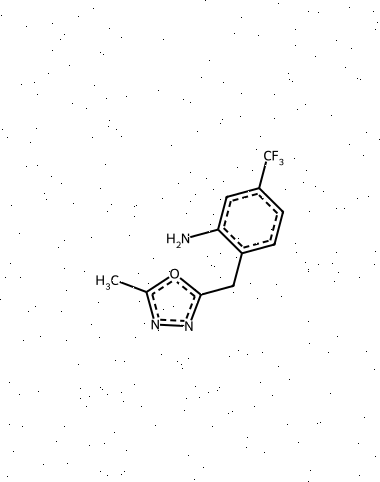 Cc1nnc(Cc2ccc(C(F)(F)F)cc2N)o1